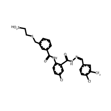 O=C(Nc1ccc(Cl)cc1C(=O)N/N=C\c1ccc(Cl)c(C(F)(F)F)c1)c1cccc(CSCCS(=O)(=O)O)c1